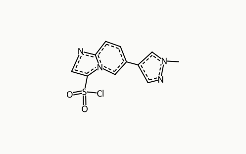 Cn1cc(-c2ccc3ncc(S(=O)(=O)Cl)n3c2)cn1